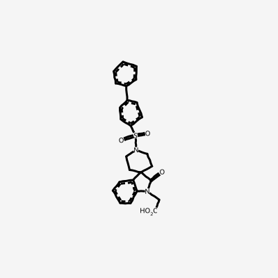 O=C(O)CN1C(=O)C2(CCN(S(=O)(=O)c3ccc(-c4ccccc4)cc3)CC2)c2ccccc21